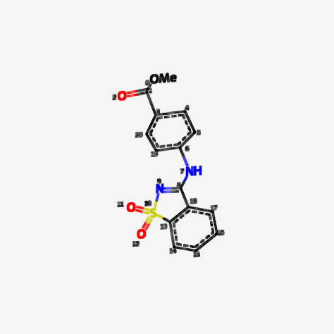 COC(=O)c1ccc(NC2=NS(=O)(=O)c3ccccc32)cc1